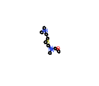 C1=CC2c3cc(-c4ccc(-c5nc6ccccc6n5-c5ccccc5)cc4)ccc3SC2C(c2ccc(-c3nc(-c4ccccc4)nc(-c4ccc5oc6ccccc6c5c4)n3)cc2)=C1